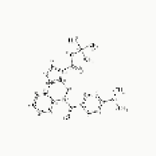 CN(C)c1ccc(C(=O)N2Cc3c(C(=O)OC(C)(C)C)ncn3-c3ccccc32)cc1